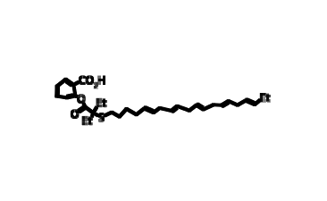 CCC=CCC=CCC=CCC=CCC=CCCCCSC(CC)(CC)C(=O)Oc1ccccc1C(=O)O